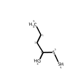 CCCC(O)SS